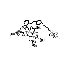 CC(C)(C)C(=O)OCCn1nc(O[C@@H]2O[C@H](COC(=O)C(C)(C)C)[C@@H](OC(=O)C(C)(C)C)[C@H](OC(=O)C(C)(C)C)[C@H]2OC(=O)C(C)(C)C)c2c(CCc3ccc(OCCCOS(C)(=O)=O)cc3)cccc21